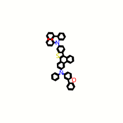 c1ccc(-c2ccccc2N(c2ccccc2)c2ccc3c(c2)sc2c4ccc(N(c5ccccc5)c5ccc6oc7ccccc7c6c5)cc4c4ccccc4c32)cc1